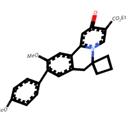 CCOC(=O)c1cn2c(cc1=O)-c1cc(OC)c(-c3ccc(OC)cc3)cc1CC21CCC1